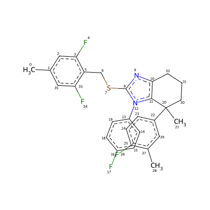 Cc1cc(F)c(CSc2nc3c(n2-c2ccc(F)cc2)C(C)(c2ccc(F)c(C)c2)CCC3)c(F)c1